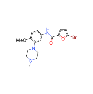 COc1ccc(NC(=O)c2ccc(Br)o2)cc1N1CCN(C)CC1